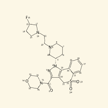 O=C(c1nn([C@H]2CCCN(CCN3CCC(F)C3)C2)c2c1CS(=O)(=O)c1ccccc1-2)N1CCOCC1